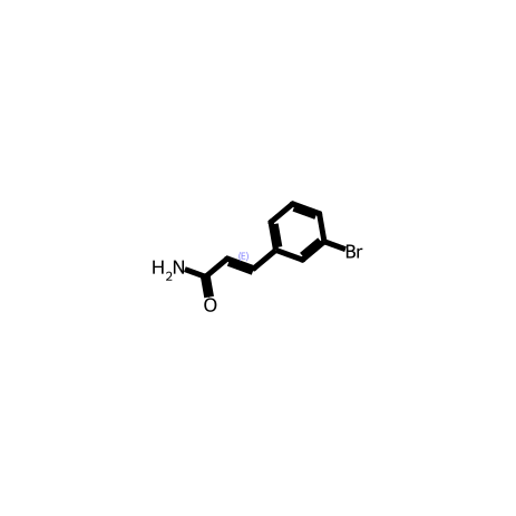 NC(=O)/C=C/c1cccc(Br)c1